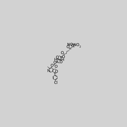 Cc1ncc2c(c1OC(=O)O[C@@H]1CO[C@H]3[C@@H]1OC[C@H]3OC(=O)CCC[C@@H](CO[N+](=O)[O-])O[N+](=O)[O-])CO[C@H]2c1ccc(Cl)cc1